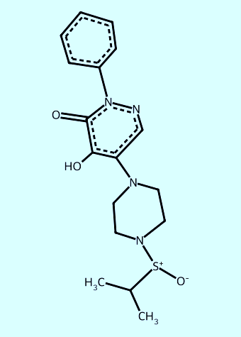 CC(C)[S+]([O-])N1CCN(c2cnn(-c3ccccc3)c(=O)c2O)CC1